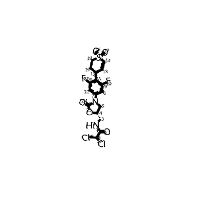 O=C(NC[C@H]1CN(c2cc(F)c(C3C=CS(=O)(=O)CC3)c(F)c2)C(=O)O1)C(Cl)Cl